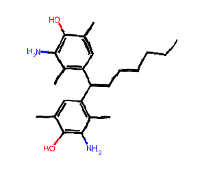 CCCCCCC(c1cc(C)c(O)c(N)c1C)c1cc(C)c(O)c(N)c1C